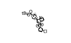 C[C@@H]1CN(c2cn(S(=O)(=O)c3cccc(Cl)c3)c3cccnc23)CCN1C(=O)OC(C)(C)C